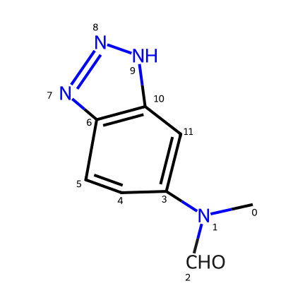 CN(C=O)c1ccc2nn[nH]c2c1